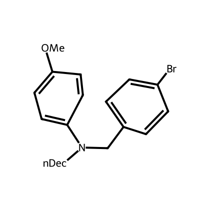 CCCCCCCCCCN(Cc1ccc(Br)cc1)c1ccc(OC)cc1